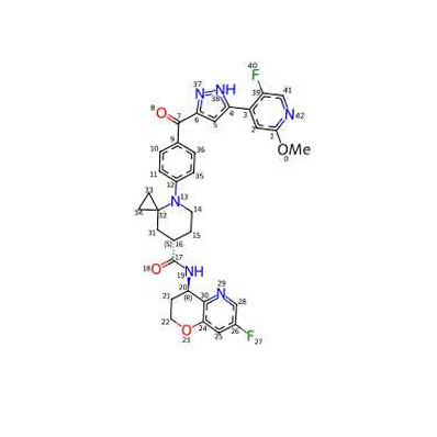 COc1cc(-c2cc(C(=O)c3ccc(N4CC[C@H](C(=O)N[C@@H]5CCOc6cc(F)cnc65)CC45CC5)cc3)n[nH]2)c(F)cn1